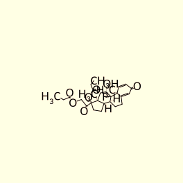 CCC(=O)OCC(=O)[C@@]1(OC(=O)CC)CC[C@H]2[C@@H]3CCC4=CC(=O)C=C[C@]4(C)[C@@]3(F)[C@@H](O)C[C@@]21C